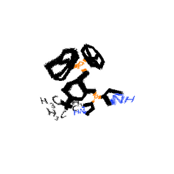 CC(C)(C)c1ccc(CP(C23CC4CC(CC(C4)C2)C3)C23CC4CC(CC(C4)C2)C3)c(CP(c2cc[nH]c2)c2cc[nH]c2)c1